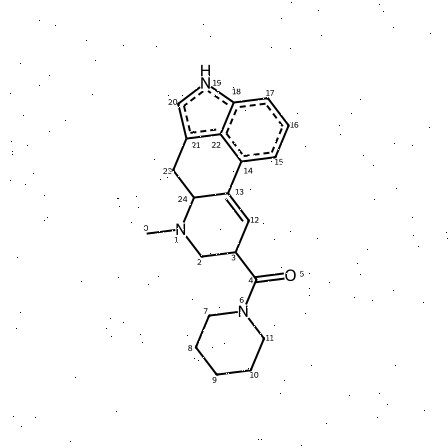 CN1CC(C(=O)N2CCCCC2)C=C2c3cccc4[nH]cc(c34)CC21